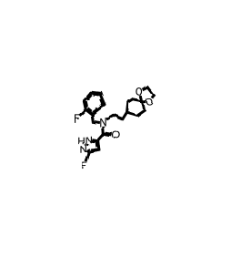 O=C(c1cc(F)n[nH]1)N(CCC1CCC2(CC1)OCCO2)Cc1ccccc1F